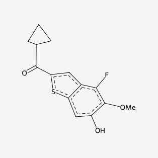 COc1c(O)cc2sc(C(=O)C3CCC3)cc2c1F